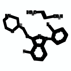 Fc1ccccc1-n1nc(OC[C@@H]2CNCCO2)c2c(F)cccc21.O=C(O)C=CC(=O)O